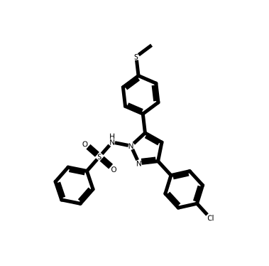 CSc1ccc(-c2cc(-c3ccc(Cl)cc3)nn2NS(=O)(=O)c2ccccc2)cc1